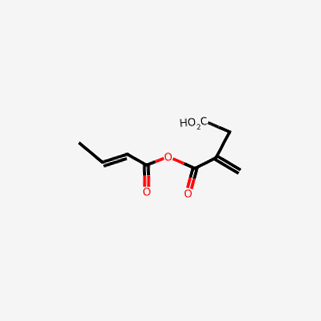 C=C(CC(=O)O)C(=O)OC(=O)C=CC